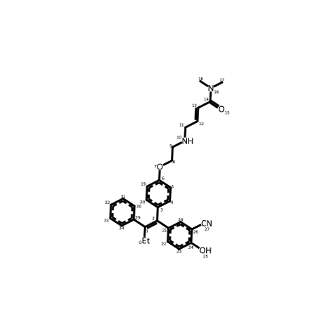 CCC(=C(c1ccc(OCCNCC=CC(=O)N(C)C)cc1)c1ccc(O)c(C#N)c1)c1ccccc1